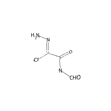 NN=C(Cl)C(=O)[N]C=O